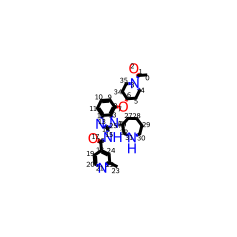 CC(=O)N1CCC(Oc2cccc3nc(NC(=O)c4ccnc(C)c4)n([C@@H]4CCCCNC4)c23)CC1